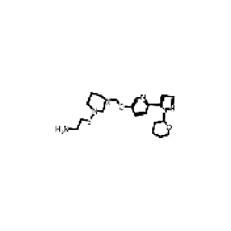 NCCSN1CCC[C@@H](COc2ccc(-c3ccnn3C3CCCCO3)nc2)C1